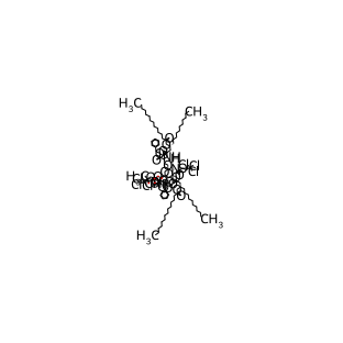 CCCCCCCCCCCCCC(=O)O[C@H](CCCCCCCCCCC)CC(=O)N[C@@H](CO[C@@H]1O[C@H](COC(=O)OC(C)(C)C(Cl)(Cl)Cl)[C@@H](OP(=O)(Oc2ccccc2)Oc2ccccc2)[C@H](OC(=O)C[C@@H](CCCCCCCCCCC)OC(=O)CCCCCCCCCCCCC)[C@H]1NC(=O)OCC(Cl)(Cl)Cl)C(=O)OCc1ccccc1